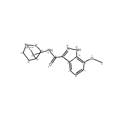 COc1cccc2c(C(=O)NC3CN4CCC3CC4)n[nH]c12